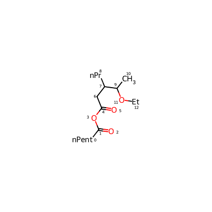 CCCCCC(=O)OC(=O)CC(CCC)C(C)OCC